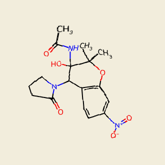 CC(=O)NC1(O)C(N2CCCC2=O)c2ccc([N+](=O)[O-])cc2OC1(C)C